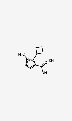 Cn1ncc(C(=O)O)c1C1CCC1.[KH]